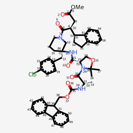 COC(=O)C[C@H](C(=O)N1CCC[C@](Cc2ccc(Cl)cc2)(NC(=O)[C@@H]2COC(C)(C)N2C(=O)[C@H](C)NC(=O)OCC2c3ccccc3-c3ccccc32)C1)[C@@H]1CCc2ccccc21